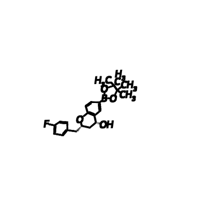 CC1(C)OB(c2ccc3c(c2)[C@H](O)C[C@H](Cc2ccc(F)cc2)O3)OC1(C)C